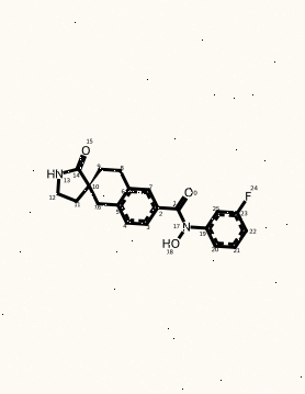 O=C(c1ccc2c(c1)CC[C@]1(CCNC1=O)C2)N(O)c1cccc(F)c1